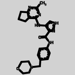 Cc1nc2c(c(Nc3c[nH]nc3C(=O)Nc3ccc(CN4CCOCC4)cc3)n1)CCC2